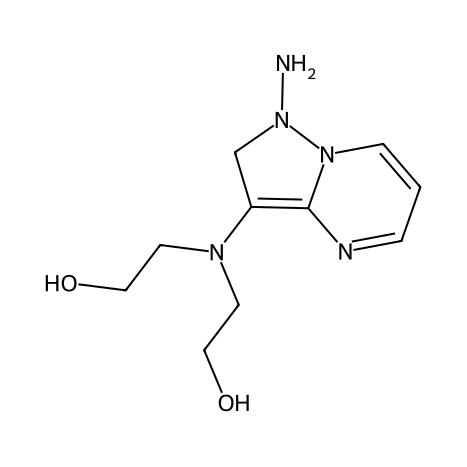 NN1CC(N(CCO)CCO)=C2N=CC=CN21